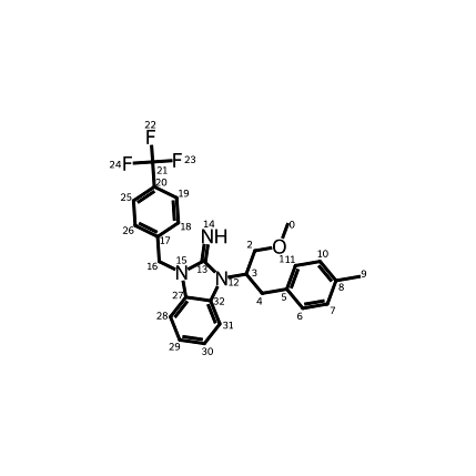 COCC(Cc1ccc(C)cc1)n1c(=N)n(Cc2ccc(C(F)(F)F)cc2)c2ccccc21